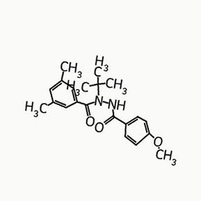 COc1ccc(C(=O)NN(C(=O)c2cc(C)cc(C)c2)C(C)(C)C)cc1